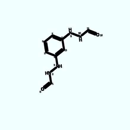 O=CNNc1c[c]cc(NNC=O)c1